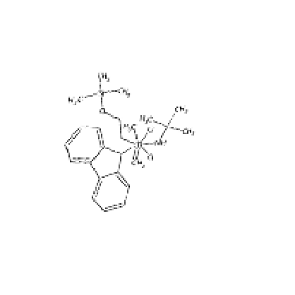 [CH2]=[Ti]([CH3])([Cl])([Cl])([CH2]CO[Si](C)(C)C)([NH]C(C)(C)C)[CH]1c2ccccc2-c2ccccc21